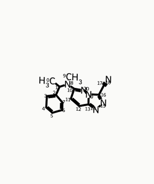 CC(c1ccccc1)N(C)c1ccc2nnc(C#N)n2n1